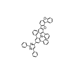 c1ccc(-c2cc(-c3cc(-c4ccccc4)c(-n4c5ccccc5c5c6oc7c(ccc8oc9ccccc9c87)c6ccc54)c(-c4ccccc4)c3)nc(-c3ccccc3)n2)cc1